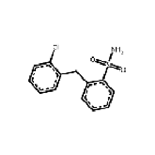 NS(=O)(=O)c1ccccc1Cc1ccccc1Cl